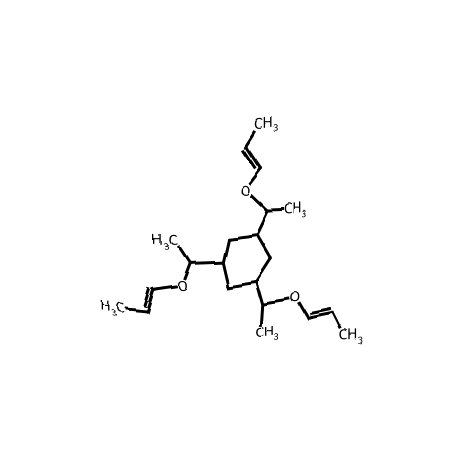 CC=COC(C)C1CC(C(C)OC=CC)CC(C(C)OC=CC)C1